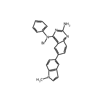 Cn1ccc2cc(-c3ccc4nc(N)nc(N(Br)c5ccccc5)c4c3)ccc21